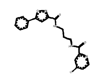 O=C(NCCCNC(=O)c1cc(-c2ccccc2)on1)c1cc(Cl)ccn1